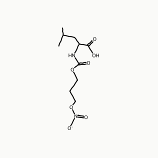 CC(C)CC(NC(=O)OCCCO[N+](=O)[O-])C(=O)O